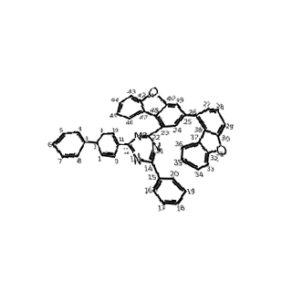 C1=CC(c2ccccc2)CC=C1c1nc(-c2ccccc2)nc(-c2cc(-c3cccc4oc5ccccc5c34)cc3oc4ccccc4c23)n1